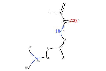 C=C(C)C(=O)NCC(C)CCN(C)C